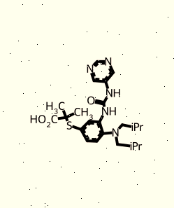 CC(C)CN(CC(C)C)c1ccc(SC(C)(C)C(=O)O)cc1NC(=O)Nc1cncnc1